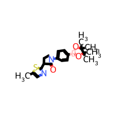 Cc1cnc(C2CCN(c3ccc(B4OC(C)(C)C(C)(C)O4)cc3)C2=O)s1